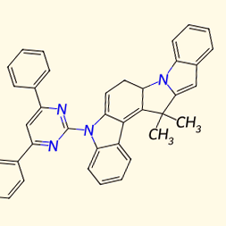 CC1(C)C2=c3c(n(-c4nc(-c5ccccc5)cc(-c5ccccc5)n4)c4ccccc34)=CCC2n2c1cc1ccccc12